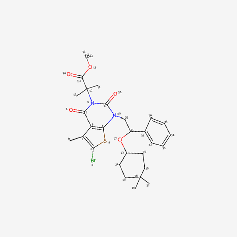 Cc1c(Br)sc2c1c(=O)n(C(C)(C)C(=O)OC(C)(C)C)c(=O)n2CC(OC1CCC(C)(C)CC1)c1ccccc1